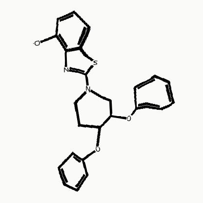 [O]c1cccc2sc(N3CCC(Oc4ccccc4)C(Oc4ccccc4)C3)nc12